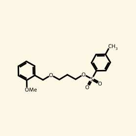 COc1ccccc1COCCCOS(=O)(=O)c1ccc(C)cc1